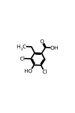 CCc1c(C(=O)O)cc(Cl)c(O)c1Cl